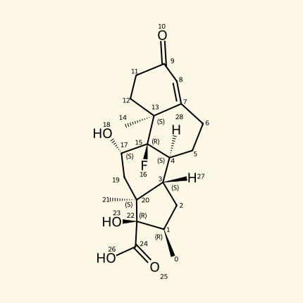 C[C@@H]1C[C@H]2[C@@H]3CCC4=CC(=O)CC[C@]4(C)[C@@]3(F)[C@@H](O)C[C@]2(C)[C@@]1(O)C(=O)O